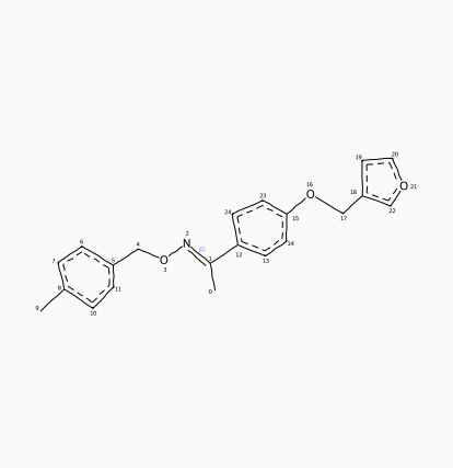 C/C(=N\OCc1ccc(C)cc1)c1ccc(OCc2ccoc2)cc1